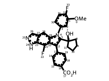 COc1cc(-n2c(C3(O)CCCC3)c(-c3ccc(C(=O)O)cc3)c3c(F)c4[nH]ncc4cc32)ccc1F